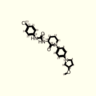 COC1CCN(c2ccc(N3CCC[C@@H](NC(=O)Nc4ccc(Cl)cc4)C3=O)cc2)C1